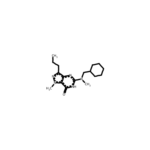 CCCc1nn(C)c2c(=O)[nH]c(N(C)CC3CCCCC3)nc12